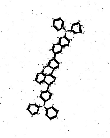 c1ccc(N(c2ccccc2)c2ccc(-c3ccc4c5c(cccc35)Sc3cc(-c5ccc6cc(N(c7ccccc7)c7ccccc7)ccc6c5)ccc3-4)cc2)cc1